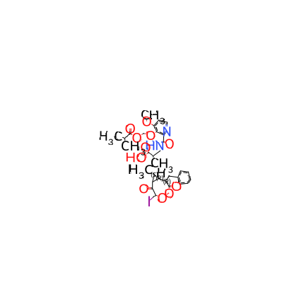 COc1ccnc(C(=O)NCC(C)C(=O)O)c1OCOC(=O)C(C)C.C[C@@H]1C2C(=O)C(I)OOC(=O)[C@H](Cc3ccccc3)[C@@H]21